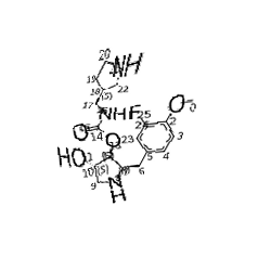 COc1ccc(C[C@H]2NC[C@H](O)[C@H]2OC(=O)NC[C@H]2CCNC2)cc1F